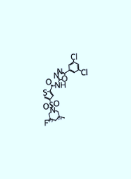 C[C@H]1C[C@@H](F)CN(S(=O)(=O)c2csc(C(=O)Nc3nnc(-c4cc(Cl)cc(Cl)c4)o3)c2)C1